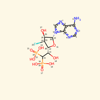 Nc1ncnc2c1ncn2[C@@H]1O[C@H](C(O)C(P(=O)(O)O)P(=O)(O)O)[C@@H](F)[C@H]1O